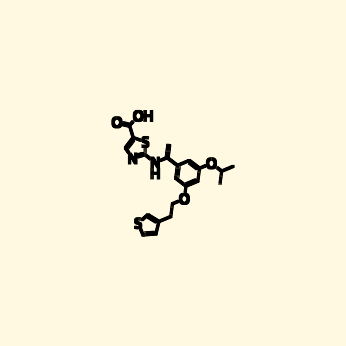 C=C(Nc1ncc(C(=O)O)s1)c1cc(OCCc2ccsc2)cc(OC(C)C)c1